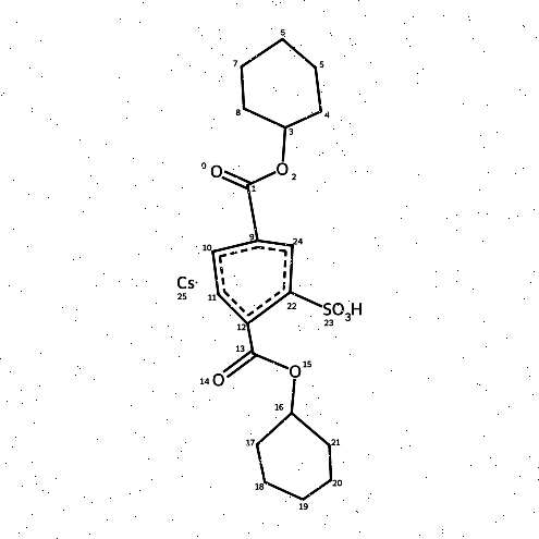 O=C(OC1CCCCC1)c1ccc(C(=O)OC2CCCCC2)c(S(=O)(=O)O)c1.[Cs]